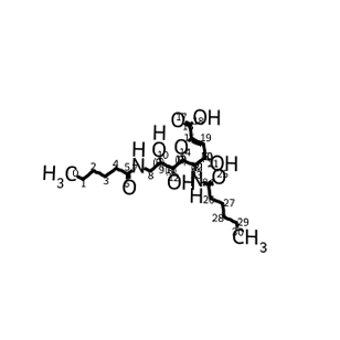 CCCCCC(=O)NC[C@@H](O)[C@@H](O)[C@@H]1OC(C(=O)O)=C[C@H](O)[C@H]1NC(=O)CCCCC